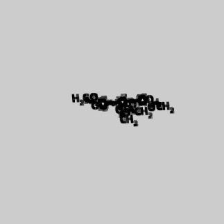 C=CC(=O)Oc1ccc(C#Cc2ccc(C#Cc3ccc(OC(=O)C=C)cc3)c(OC(=O)C=C)c2OC(=O)C=C)cc1